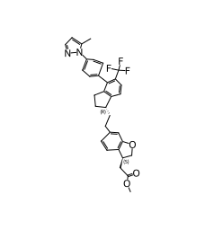 COC(=O)C[C@@H]1COc2cc(CC[C@@H]3CCc4c3ccc(C(F)(F)F)c4-c3ccc(-n4nccc4C)cc3)ccc21